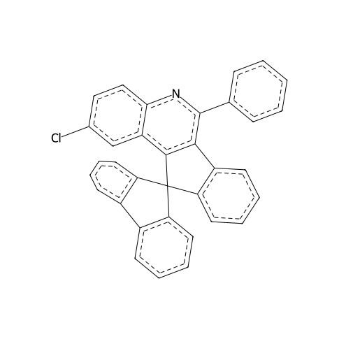 Clc1ccc2nc(-c3ccccc3)c3c(c2c1)C1(c2ccccc2-c2ccccc21)c1ccccc1-3